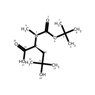 CN(C(=O)OC(C)(C)C)[C@@H](CC(C)(C)O)C(=O)O